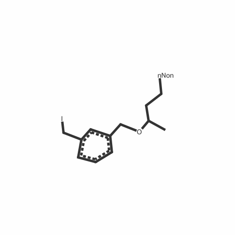 CCCCCCCCCCCC(C)OCc1cccc(CI)c1